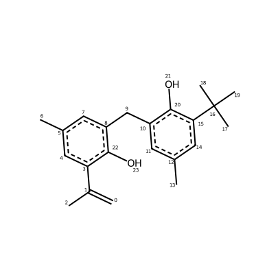 C=C(C)c1cc(C)cc(Cc2cc(C)cc(C(C)(C)C)c2O)c1O